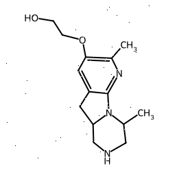 Cc1nc2c(cc1OCCO)CC1CNCC(C)N21